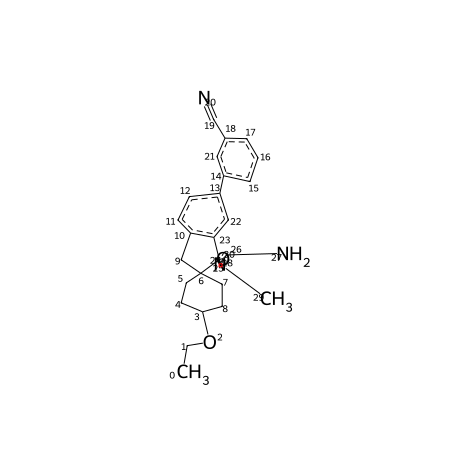 CCOC1CCC2(CC1)Cc1ccc(-c3cccc(C#N)c3)cc1C21C=C(N)N(C)O1